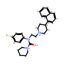 O=C(N1CCCCC1)N(CCN1CCC(c2cccc3ccccc23)CC1)c1ccc(F)cc1